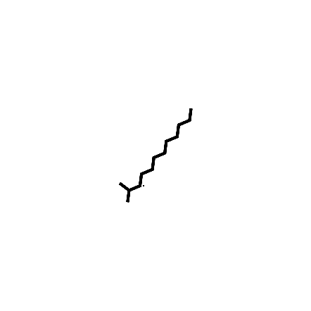 CCCCCCCCC[CH]C(C)C